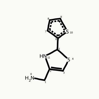 NCC1=CSC(c2cccs2)N1